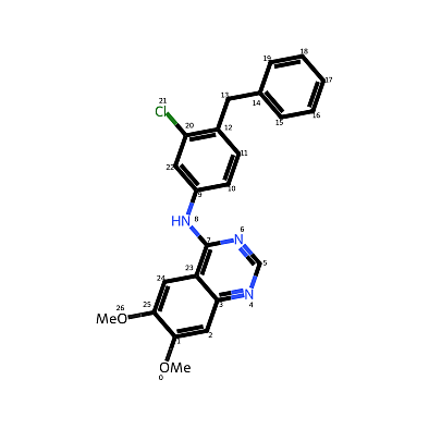 COc1cc2ncnc(Nc3ccc(Cc4ccccc4)c(Cl)c3)c2cc1OC